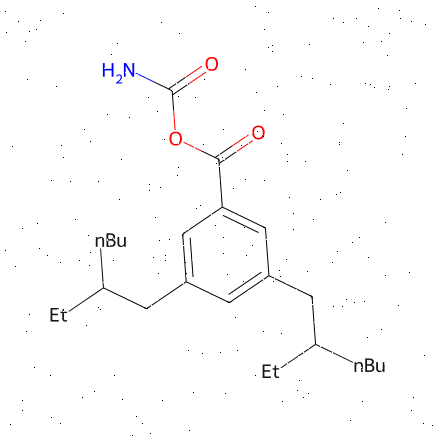 CCCCC(CC)Cc1cc(CC(CC)CCCC)cc(C(=O)OC(N)=O)c1